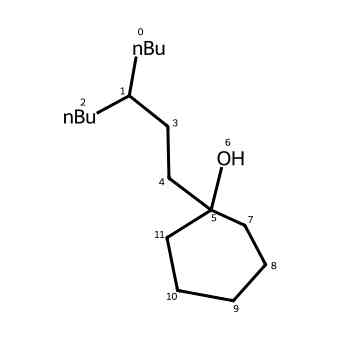 CCCCC(CCCC)CCC1(O)CCCCC1